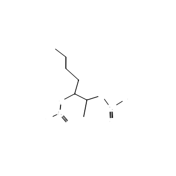 C[CH]CCC(O[N+](=O)[O-])C(C)O[N+](=O)[O-]